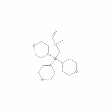 C=C[Si](C)(C)C[Si](N1CCOCC1)(N1CCOCC1)N1CCOCC1